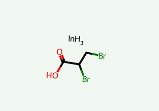 O=C(O)C(Br)CBr.[InH3]